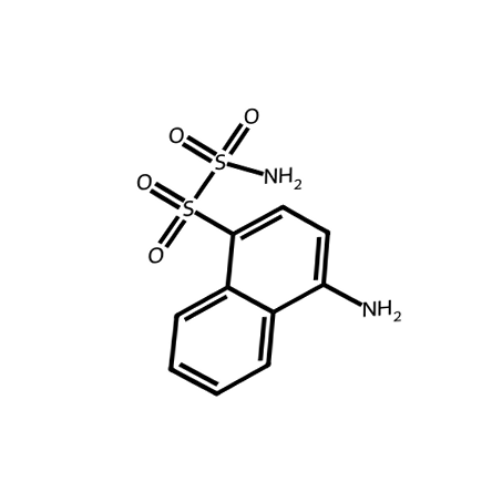 Nc1ccc(S(=O)(=O)S(N)(=O)=O)c2ccccc12